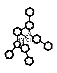 CS1(Nc2ccc(-c3ccccc3)cc2)c2c(cccc2C2C=CC(c3ccccc3)=C2)-c2cc(-c3ccccc3)ccc2N1c1ccc(-c2ccccc2)cc1